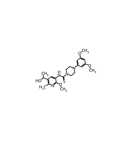 COc1cc(OC)cc(N2CCN(C(=S)Nc3cc(C(C)O)c(C)nc3OC)CC2)c1